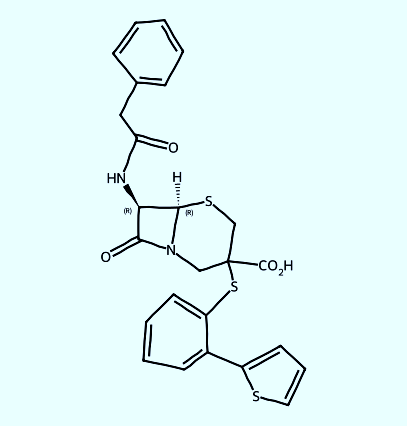 O=C(Cc1ccccc1)N[C@@H]1C(=O)N2CC(Sc3ccccc3-c3cccs3)(C(=O)O)CS[C@H]12